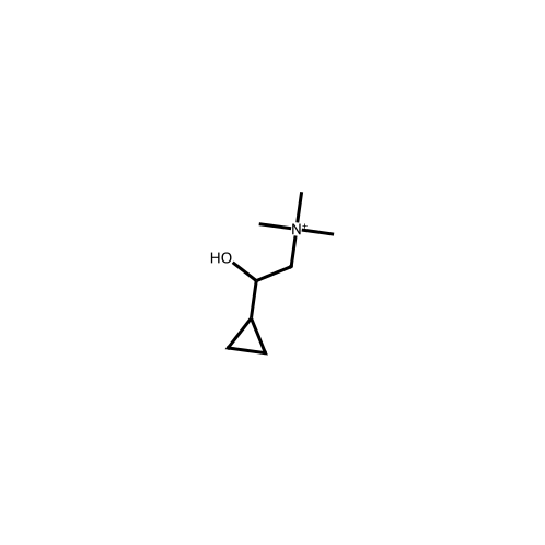 C[N+](C)(C)CC(O)C1CC1